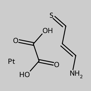 NC=CC=S.O=C(O)C(=O)O.[Pt]